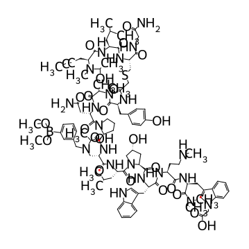 CCCC[C@@H](C(=O)N[C@@H](CC(C)C)C(=O)N[C@@H](CSCC(=O)N[C@@H](Cc1ccc(O)cc1)C(=O)N(C)[C@@H](C)C(=O)N[C@@H](CC(N)=O)C(=O)N1CCC[C@H]1C(=O)N[C@@H](CN(Cc1cccc(B(OC)OC)c1)C(C)O)C(=O)N[C@@H](CC(C)C)C(=O)N1C[C@H](O)C[C@H]1C(=O)N[C@@H](Cc1c[nH]c2ccccc12)C(=O)N[C@@H](CCNC)C(=O)N[C@@H](Cc1cn(CC(=O)O)c2ccccc12)C(=O)N(C)C)C(=O)NCC(N)=O)N(C)C(C)O